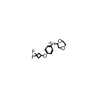 FC1(F)CC(Oc2cc[c]([Sn][CH]3COCCO3)cc2)C1